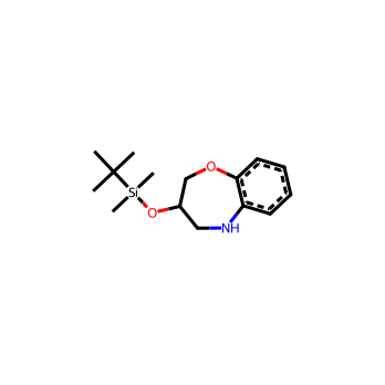 CC(C)(C)[Si](C)(C)OC1CNc2ccccc2OC1